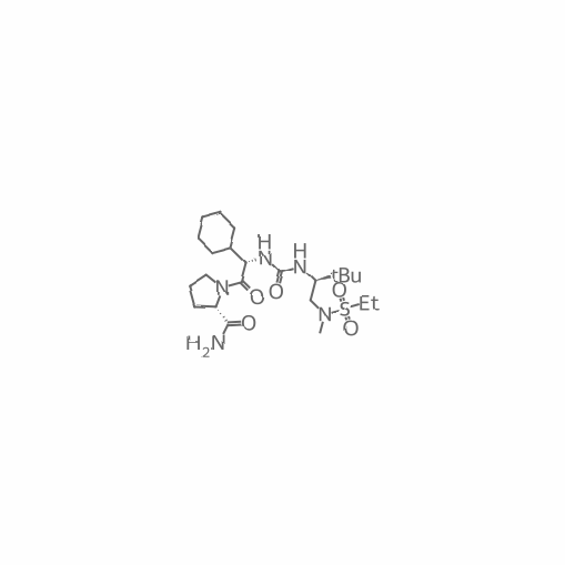 CCS(=O)(=O)N(C)C[C@@H](NC(=O)N[C@H](C(=O)N1CCC[C@H]1C(N)=O)C1CCCCC1)C(C)(C)C